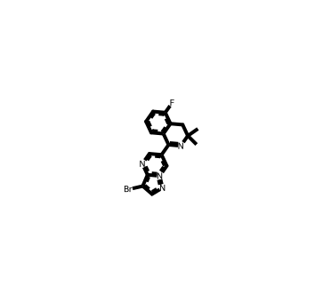 CC1(C)Cc2c(F)cccc2C(c2cnc3c(Br)cnn3c2)=N1